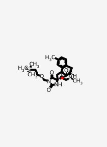 Cc1ccc2c(c1)[C@]13CCN(C)[C@H](C2)[C@]1(O)CC[C@@]1(C3)NC(=O)N(COCC[Si](C)(C)C)C1=O